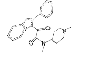 CN1CCC(N(C)C(=O)C(=O)c2c(-c3ccccc3)cc3ccccn23)CC1